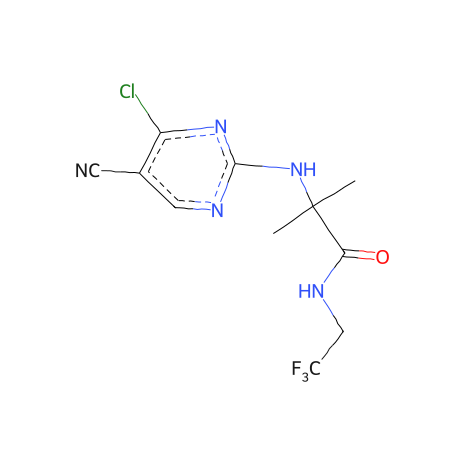 CC(C)(Nc1ncc(C#N)c(Cl)n1)C(=O)NCC(F)(F)F